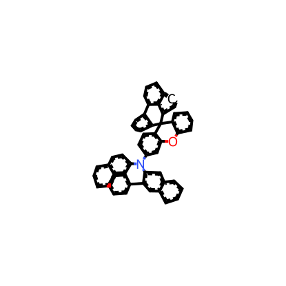 c1ccc(-c2cc3ccccc3cc2N(c2ccc3c(c2)Oc2ccccc2C32c3ccccc3-c3cccc4cccc2c34)c2ccc3ccccc3c2)cc1